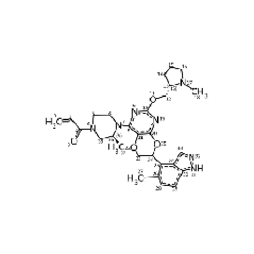 C=CC(=O)N1CCN(c2nc(OC[C@@H]3CCCN3C)nc3c2OCC(c2c(C)ccc4[nH]ncc24)O3)[C@@H](C)C1